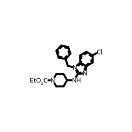 CCOC(=O)N1CCC(Nc2nc3cc(Cl)ccc3n2Cc2ccccc2)CC1